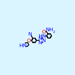 N#Cc1cc(-c2ncnc(Nc3ccccc3C(N)=O)n2)ccc1OC1CCNC1